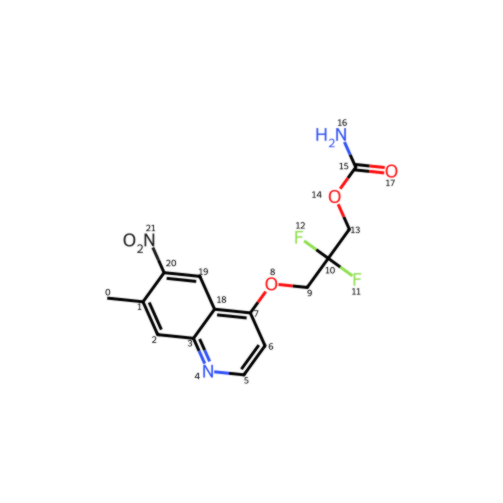 Cc1cc2nccc(OCC(F)(F)COC(N)=O)c2cc1[N+](=O)[O-]